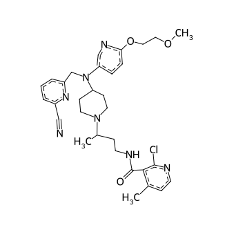 COCCOc1ccc(N(Cc2cccc(C#N)n2)C2CCN(C(C)CCNC(=O)c3c(C)ccnc3Cl)CC2)cn1